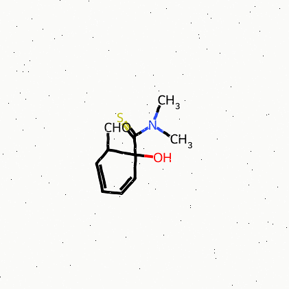 CN(C)C(=S)C1(O)C=CC=CC1C=O